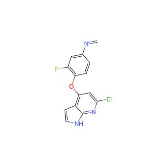 C=Nc1ccc(Oc2cc(Cl)nc3[nH]ccc23)c(F)c1